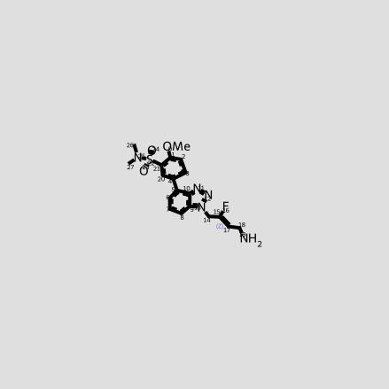 COc1ccc(-c2cccc3c2nnn3C/C(F)=C/CN)cc1S(=O)(=O)N(C)C